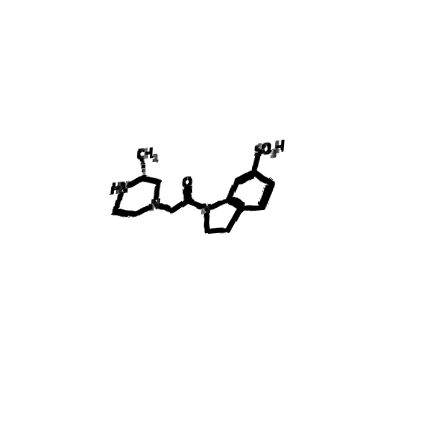 C[C@@H]1CN(CC(=O)N2CCc3ccc(S(=O)(=O)O)cc32)CCN1